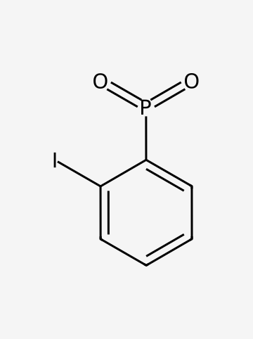 O=P(=O)c1ccccc1I